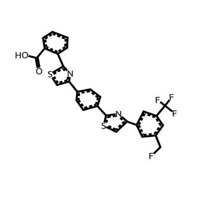 O=C(O)c1ccccc1-c1nc(-c2ccc(-c3nc(-c4cc(CF)cc(C(F)(F)F)c4)cs3)cc2)cs1